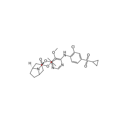 COc1c(Nc2ccc(S(=O)(=O)C3CC3)cc2Cl)ncnc1O[C@H]1CC2CC[C@@H](C1)N2C(=O)OC(C)(C)C